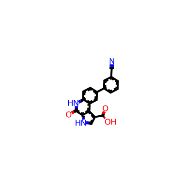 N#Cc1cccc(-c2ccc3[nH]c(=O)c4[nH]cc(C(=O)O)c4c3c2)c1